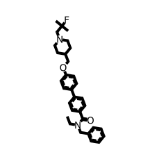 CCN(Cc1ccccc1)C(=O)c1ccc(-c2ccc(OCC3CCN(CC(C)(C)F)CC3)cc2)cc1